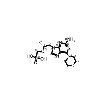 C[C@H](Cn1cnc2c(N3CCOCC3)nc(N)nc21)OCP(=O)(O)O